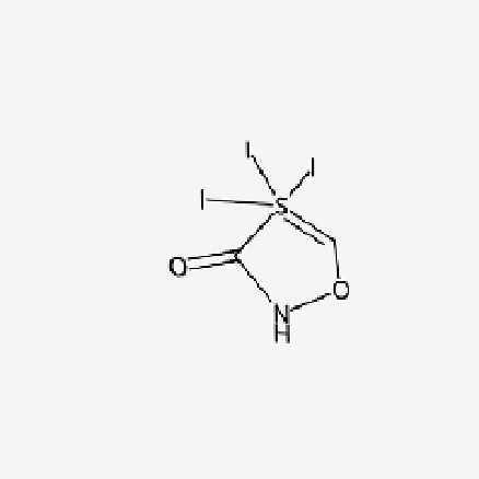 O=C1NOC=S1(I)(I)I